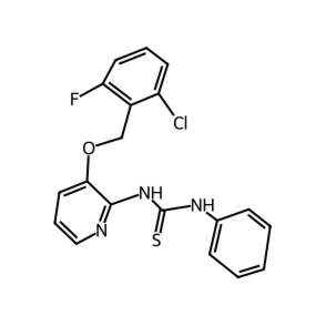 Fc1cccc(Cl)c1COc1cccnc1NC(=S)Nc1ccccc1